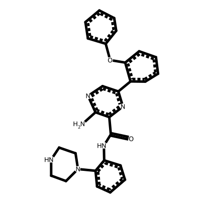 Nc1ncc(-c2ccccc2Oc2ccccc2)nc1C(=O)Nc1ccccc1N1CCNCC1